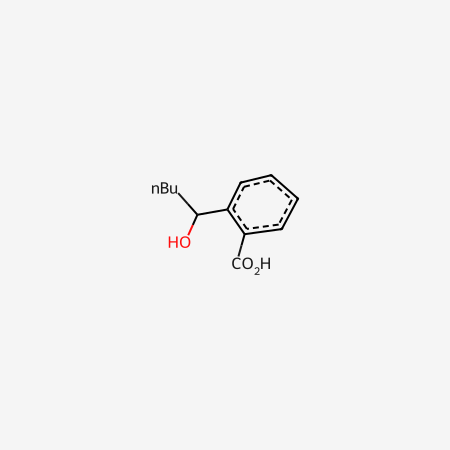 CCCCC(O)c1ccccc1C(=O)O